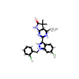 CC1(C)C(=O)Nc2nc(-c3nn(Cc4ccccc4F)c4cc(Cl)ccc34)nc(C(=O)O)c21